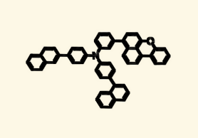 c1cc(-c2ccc3c4c(cccc24)-c2ccccc2O3)cc(N(c2ccc(-c3ccc4ccccc4c3)cc2)c2ccc(-c3cccc4ccccc34)cc2)c1